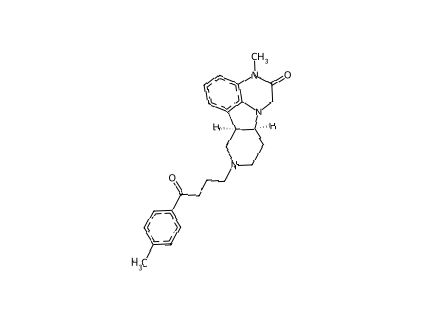 Cc1ccc(C(=O)CCCN2CC[C@H]3[C@@H](C2)c2cccc4c2N3CC(=O)N4C)cc1